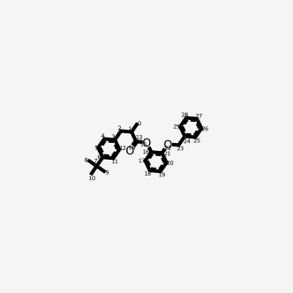 CC(Cc1ccc(C(C)(C)C)cc1)C(=O)Oc1ccccc1OCc1ccccc1